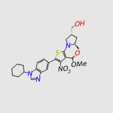 COC(=O)c1c(N2C[C@H](CO)C[C@H]2C)sc(-c2ccc3c(c2)ncn3C2CCCCC2)c1[N+](=O)[O-]